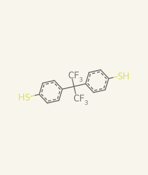 FC(F)(F)C(c1ccc(S)cc1)(c1ccc(S)cc1)C(F)(F)F